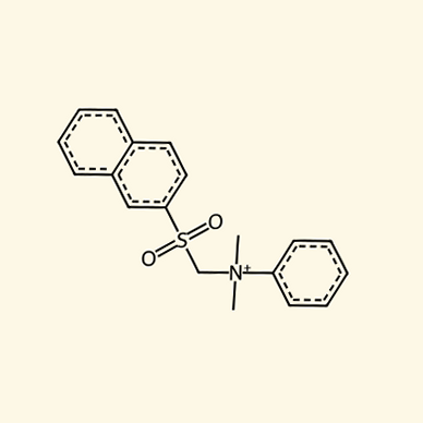 C[N+](C)(CS(=O)(=O)c1ccc2ccccc2c1)c1ccccc1